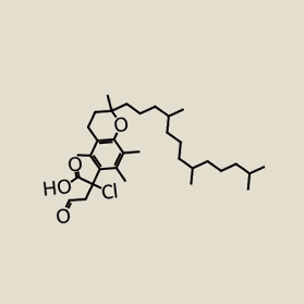 Cc1c(C)c(C(Cl)(CC=O)C(=O)O)c(C)c2c1OC(C)(CCCC(C)CCCC(C)CCCC(C)C)CC2